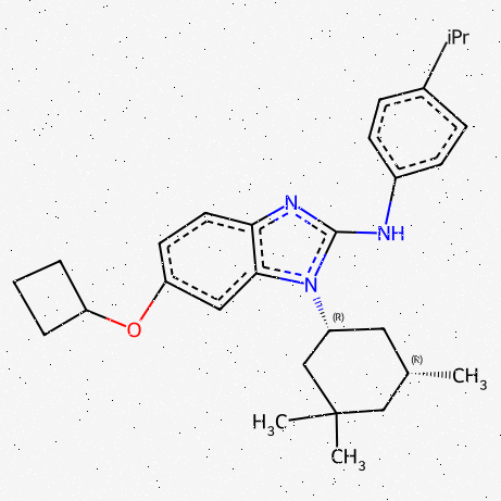 CC(C)c1ccc(Nc2nc3ccc(OC4CCC4)cc3n2[C@@H]2C[C@H](C)CC(C)(C)C2)cc1